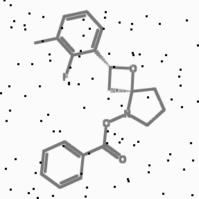 Cc1cccc([C@H]2C[C@@]3(CCCN3OC(=O)c3ccccc3)O2)c1F